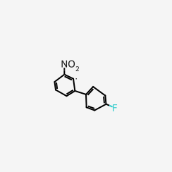 O=[N+]([O-])c1[c]c(-c2ccc(F)cc2)ccc1